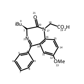 CC[C@H](C)C1N=C(c2ccccc2)c2cc(OC)ccc2N(CC(=O)O)C1=O